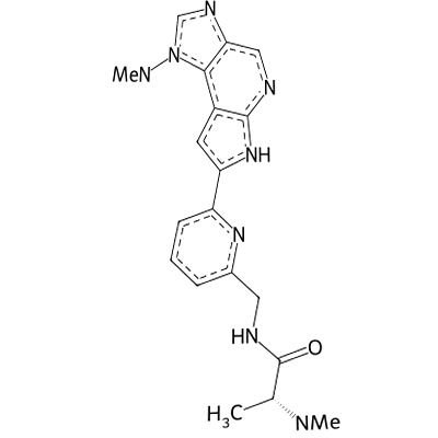 CN[C@H](C)C(=O)NCc1cccc(-c2cc3c(ncc4ncn(NC)c43)[nH]2)n1